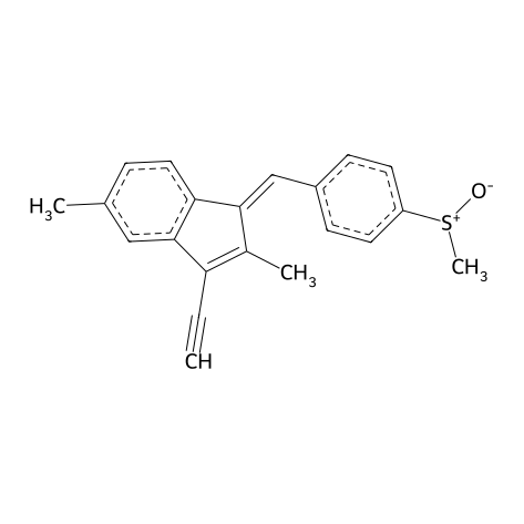 C#CC1=C(C)C(=Cc2ccc([S+](C)[O-])cc2)c2ccc(C)cc21